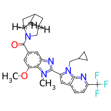 COc1cc(C(=O)N2C[C@H]3CC4C[C@@H]2[C@H]43)cc2nc(-c3cc4ccc(C(F)(F)F)nc4n3CC3CC3)n(C)c12